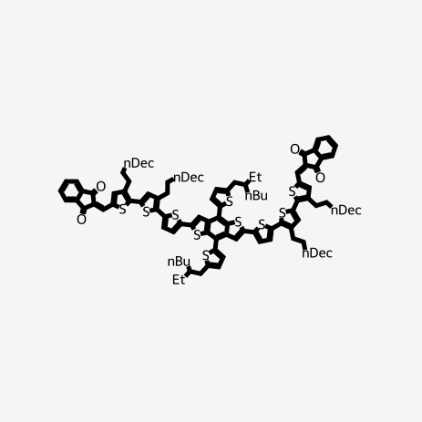 CCCCCCCCCCCCc1cc(C=C2C(=O)c3ccccc3C2=O)sc1-c1cc(CCCCCCCCCCCC)c(-c2ccc(-c3cc4c(-c5ccc(CC(CC)CCCC)s5)c5sc(-c6ccc(-c7sc(-c8sc(C=C9C(=O)c%10ccccc%10C9=O)cc8CCCCCCCCCCCC)cc7CCCCCCCCCCCC)s6)cc5c(-c5ccc(CC(CC)CCCC)s5)c4s3)s2)s1